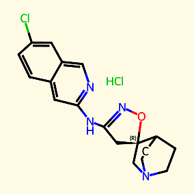 Cl.Clc1ccc2cc(NC3=NO[C@@]4(C3)CN3CCC4CC3)ncc2c1